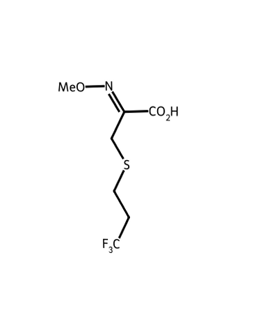 CON=C(CSCCC(F)(F)F)C(=O)O